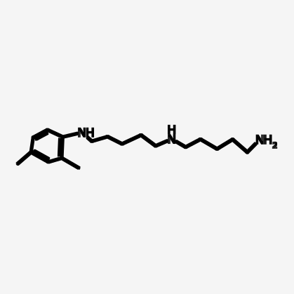 Cc1ccc(NCCCCCNCCCCCN)c(C)c1